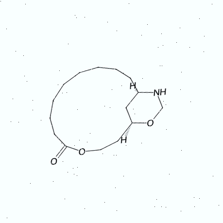 O=C1CCCCCCCC[C@@H]2C[C@H](CCO1)OCN2